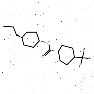 CCC[C@H]1CC[C@H](OC(=O)[C@H]2CC[C@H](C(F)(F)F)CC2)CC1